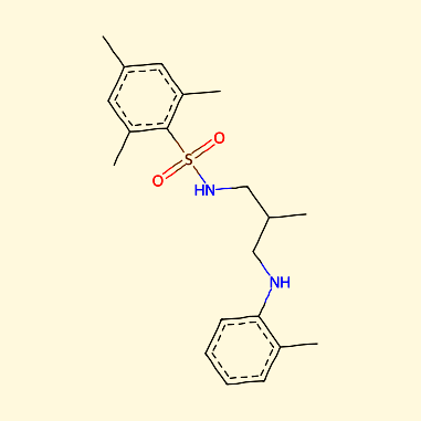 Cc1cc(C)c(S(=O)(=O)NCC(C)CNc2ccccc2C)c(C)c1